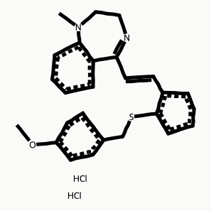 COc1ccc(CSc2ccccc2C=CC2=NCCN(C)c3ccccc32)cc1.Cl.Cl